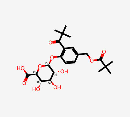 CC(C)(C)C(=O)OCc1ccc(O[C@@H]2O[C@H](C(=O)O)[C@@H](O)[C@H](O)[C@H]2O)c(C(=O)C(C)(C)C)c1